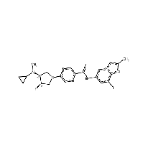 Cc1cn2cc(NC(=O)c3cnc(N4C[C@@H](F)[C@@H](N(C)C5CC5)C4)cn3)cc(F)c2n1